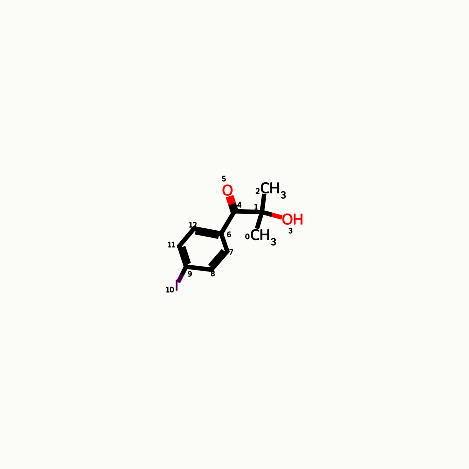 CC(C)(O)C(=O)c1ccc(I)cc1